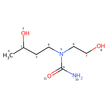 CC(O)CCN(CCO)C(N)=O